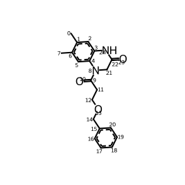 Cc1cc2c(cc1C)N(C(=O)CCOCc1ccccc1)CC(=O)N2